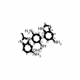 Cc1nc2ccc(N)cc2[nH]1.Nc1ccc(NC=O)cc1.Nc1ccc2[nH]cnc2c1